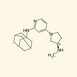 CN[C@@H]1CCN(c2ccnc(NC34CC5CC(CC(C5)C3)C4)c2)C1